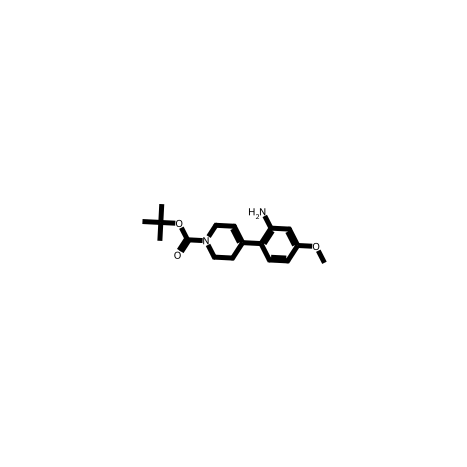 COc1ccc(C2=CCN(C(=O)OC(C)(C)C)CC2)c(N)c1